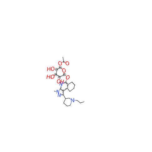 CCCN1CCCC(c2nn(C)c3nc(O[C@H]4O[C@@H](OC(C)=O)[C@@H](O)[C@@H](O)[C@H]4O)c4c(c23)CCCC4)C1